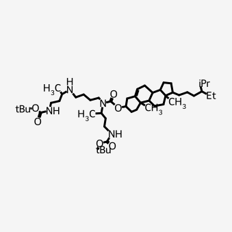 CCC(CCCC1CCC2C3CC=C4CC(OC(=O)N(CCCCNC(C)CCNC(=O)OC(C)(C)C)C(C)CCNC(=O)OC(C)(C)C)CCC4(C)C3CCC12C)C(C)C